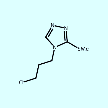 CSc1nncn1CCCCl